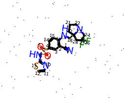 N#Cc1cc(S(=O)(=O)Nc2nccs2)ccc1NC[C@@]12CCCN1CC(F)(F)C2